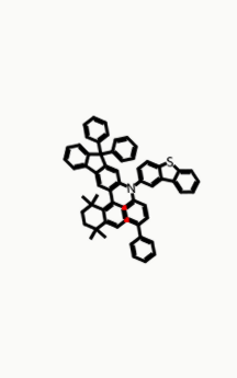 CC1(C)CCC(C)(C)c2c(-c3cc4c(cc3N(c3ccc(-c5ccccc5)cc3)c3ccc5sc6ccccc6c5c3)C(c3ccccc3)(c3ccccc3)c3ccccc3-4)cccc21